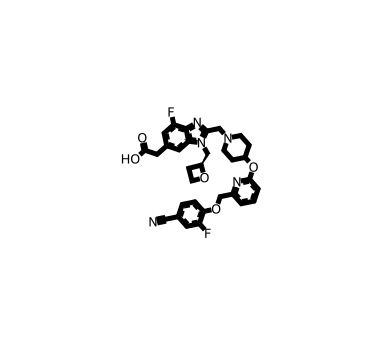 N#Cc1ccc(OCc2cccc(OC3CCN(Cc4nc5c(F)cc(CC(=O)O)cc5n4C[C@@H]4CCO4)CC3)n2)c(F)c1